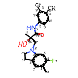 Cc1cc2c(cc1F)N(CC(C)(O)C(=O)Nc1ccc(C#N)c(C(F)(F)F)c1)CC2